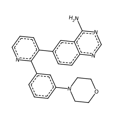 Nc1ncnc2ccc(-c3cccnc3-c3cccc(N4CCOCC4)c3)cc12